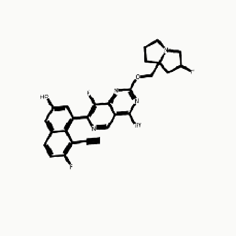 C#Cc1c(F)ccc2cc(O)cc(-c3ncc4c(C(C)C)nc(OCC56CCCN5CC(F)C6)nc4c3F)c12